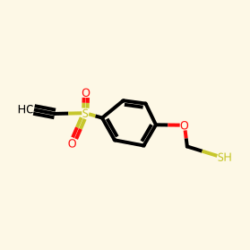 C#CS(=O)(=O)c1ccc(OCS)cc1